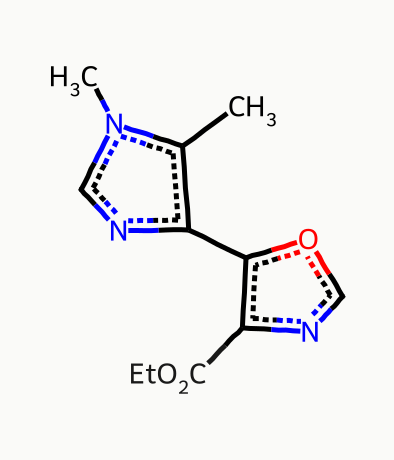 CCOC(=O)c1ncoc1-c1ncn(C)c1C